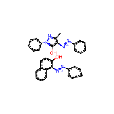 Cc1nn(-c2ccccc2)c(O)c1/N=N/c1ccccc1.Oc1ccc2ccccc2c1/N=N/c1ccccc1